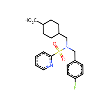 O=C(O)C1CCC(CN(Cc2ccc(F)cc2)S(=O)(=O)c2ccccn2)CC1